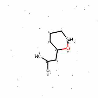 CCC(C#N)CC1CCC[SiH2]O1